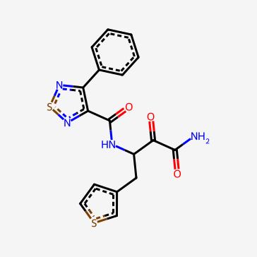 NC(=O)C(=O)C(Cc1ccsc1)NC(=O)c1nsnc1-c1ccccc1